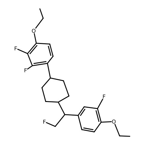 CCOc1ccc(C(CF)C2CCC(c3ccc(OCC)c(F)c3F)CC2)cc1F